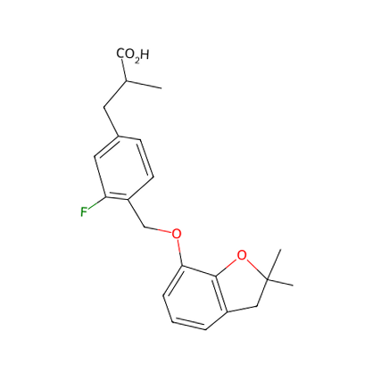 CC(Cc1ccc(COc2cccc3c2OC(C)(C)C3)c(F)c1)C(=O)O